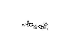 Cc1nc2cc(-c3nc(-c4ccc5c(c4)nnn5C(C)C)no3)ccc2[nH]1